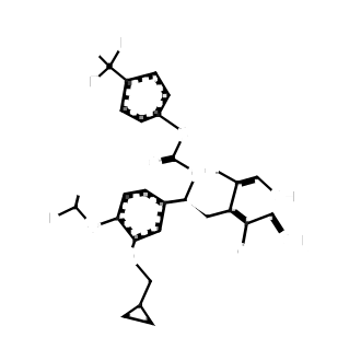 C=C/C(Cl)=C(C[C@H](OC(=O)Sc1ccc(C(F)(F)F)cc1)c1ccc(OC(F)F)c(OCC2CC2)c1)\C(Cl)=C/C